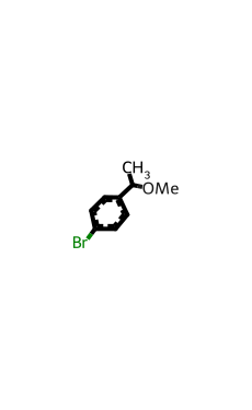 CO[C](C)c1ccc(Br)cc1